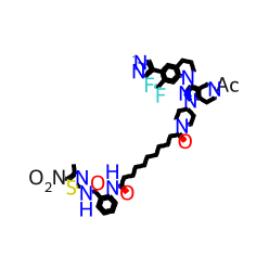 CC(=O)N1CCc2c(c(N3CCCc4cc(-c5cnn(C)c5)c(C(F)F)cc43)nn2C2CCN(C(=O)CCCCCCCCCC(=O)Nc3ccccc3C(=O)Nc3nc(C)c([N+](=O)[O-])s3)CC2)C1